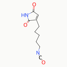 O=C=NCCCCCC1=CC(=O)NC1=O